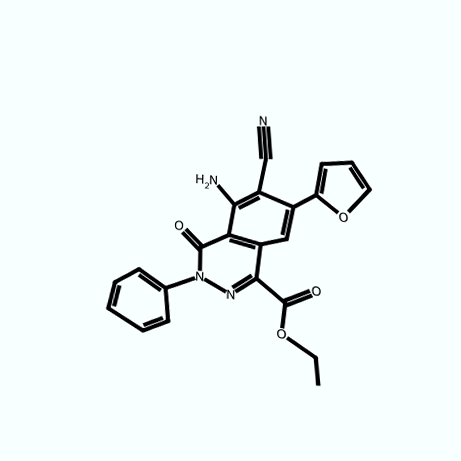 CCOC(=O)c1nn(-c2ccccc2)c(=O)c2c(N)c(C#N)c(-c3ccco3)cc12